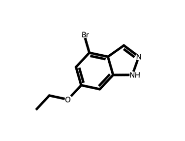 CCOc1cc(Br)c2cn[nH]c2c1